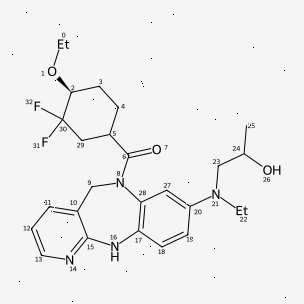 CCO[C@H]1CCC(C(=O)N2Cc3cccnc3Nc3ccc(N(CC)CC(C)O)cc32)CC1(F)F